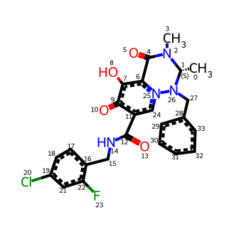 C[C@H]1N(C)C(=O)c2c(O)c(=O)c(C(=O)NCc3ccc(Cl)cc3F)cn2N1Cc1ccccc1